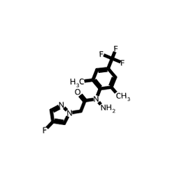 Cc1cc(C(F)(F)F)cc(C)c1N(N)C(=O)Cn1cc(F)cn1